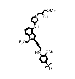 COCC(O)CN1CCC(Nc2cccc3c2cc(C#CCNc2ccc([SH](C)(C)=O)cc2OC)n3CC(F)(F)F)C1